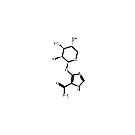 NC(=O)c1[nH]cnc1O[C@@H]1OC[C@@H](O)[C@H](O)[C@@H]1O